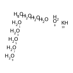 O.O.O.O.O.O.O.O.O.O.[KH]